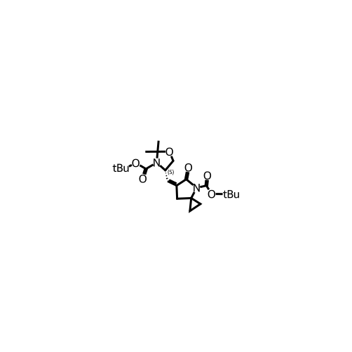 CC(C)(C)OC(=O)N1C(=O)C(=C[C@H]2COC(C)(C)N2C(=O)OC(C)(C)C)CC12CC2